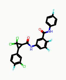 O=C(Nc1ccc(F)cc1)c1cc(NC(=O)C2C(c3ccc(F)c(Cl)c3)C2(Cl)Cl)cc(F)c1F